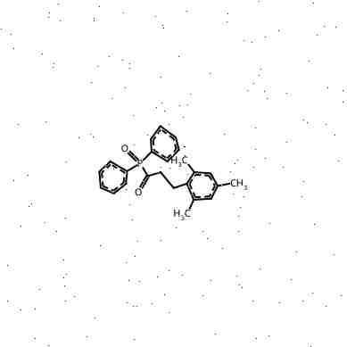 Cc1cc(C)c(CCC(=O)P(=O)(c2ccccc2)c2ccccc2)c(C)c1